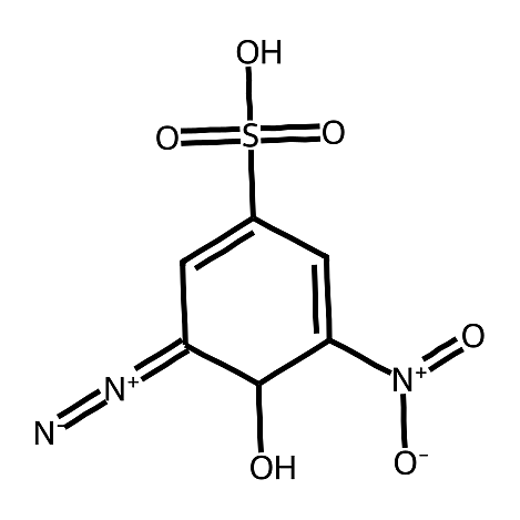 [N-]=[N+]=C1C=C(S(=O)(=O)O)C=C([N+](=O)[O-])C1O